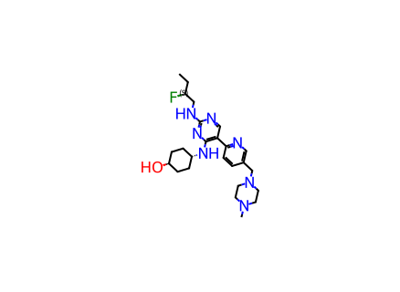 CC[C@H](F)CNc1ncc(-c2ccc(CN3CCN(C)CC3)cn2)c(N[C@H]2CC[C@H](O)CC2)n1